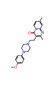 COc1ccc(N2CCN(CCc3c(C)nc4cc(C)ccn4c3=O)CC2)cc1